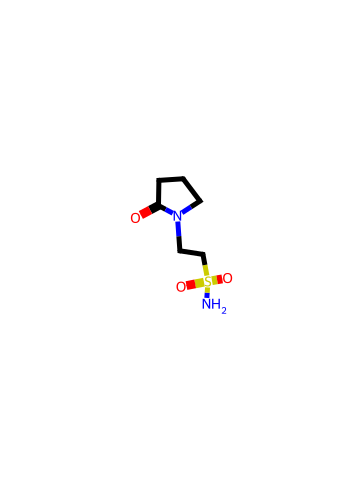 NS(=O)(=O)CCN1CCCC1=O